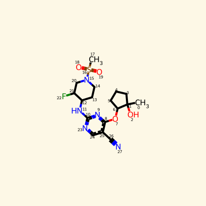 CC1(O)CCCC1Oc1nc(NC2CCN(S(C)(=O)=O)CC2F)ncc1C#N